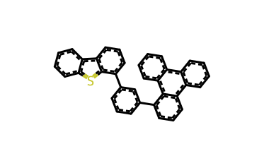 c1cc(-c2cccc3c2sc2ccccc23)cc(-c2cccc3c4ccccc4c4ccccc4c23)c1